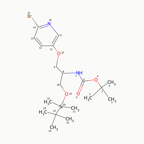 CC(C)(C)OC(=O)NC(COc1ccc(Br)nc1)CO[Si](C)(C)C(C)(C)C